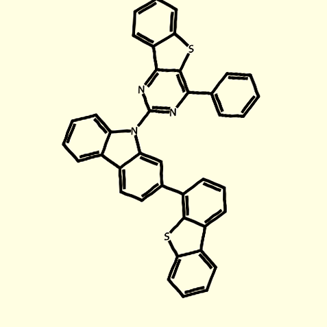 c1ccc(-c2nc(-n3c4ccccc4c4ccc(-c5cccc6c5sc5ccccc56)cc43)nc3c2sc2ccccc23)cc1